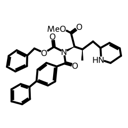 COC(=O)[C@@H]([C@H](C)CC1C=CCCN1)N(C(=O)OCc1ccccc1)C(=O)c1ccc(-c2ccccc2)cc1